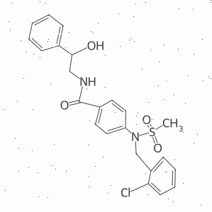 CS(=O)(=O)N(Cc1ccccc1Cl)c1ccc(C(=O)NCC(O)c2ccccc2)cc1